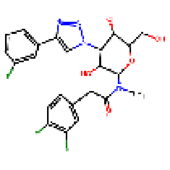 CN(C(=O)Cc1ccc(F)c(F)c1)[C@@H]1OC(CO)[C@H](O)C(n2cc(-c3cccc(F)c3)nn2)C1O